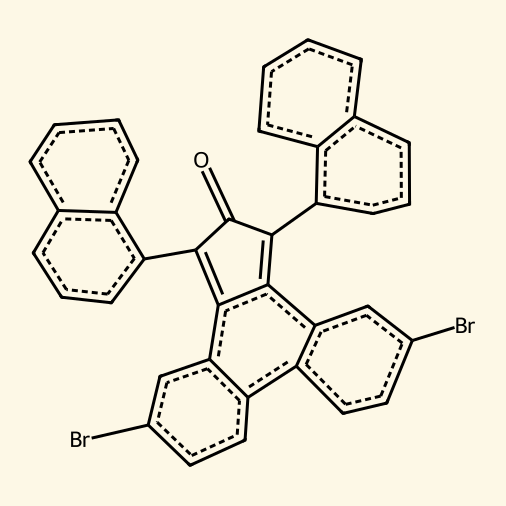 O=C1C(c2cccc3ccccc23)=c2c(c3cc(Br)ccc3c3ccc(Br)cc23)=C1c1cccc2ccccc12